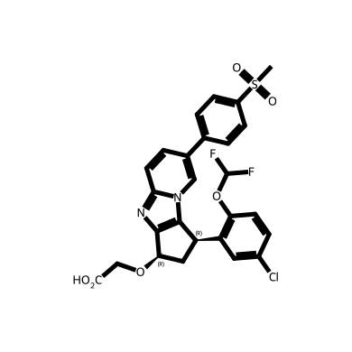 CS(=O)(=O)c1ccc(-c2ccc3nc4c(n3c2)[C@@H](c2cc(Cl)ccc2OC(F)F)C[C@H]4OCC(=O)O)cc1